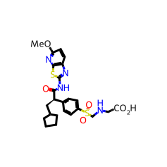 COc1ccc2nc(NC(=O)[C@H](CC3CCCC3)c3ccc(S(=O)(=O)CNCC(=O)O)cc3)sc2n1